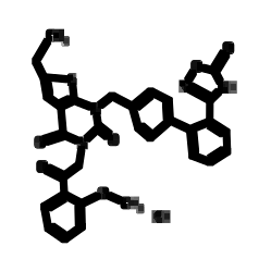 CCc1cc2c(=O)n(CC(=O)c3ccccc3OC)c(=O)n(Cc3ccc(-c4ccccc4-c4noc(=O)[nH]4)cc3)c2s1.[KH]